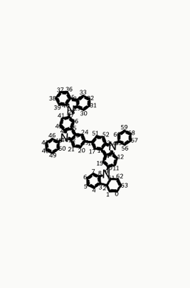 C1=CC2c3ccccc3N(c3ccc4c(c3)c3cc(-c5ccc6c(c5)c5cc(-n7c8ccccc8c8ccccc87)ccc5n6-c5ccccc5)ccc3n4-c3ccccc3)C2C=C1